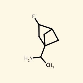 CC(N)C12CC(F)C(C1)C2